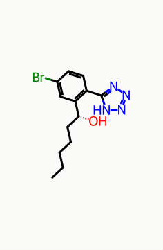 CCCCC[C@@H](O)c1cc(Br)ccc1-c1nnn[nH]1